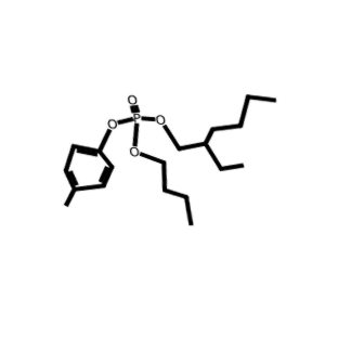 CCCCOP(=O)(OCC(CC)CCCC)Oc1ccc(C)cc1